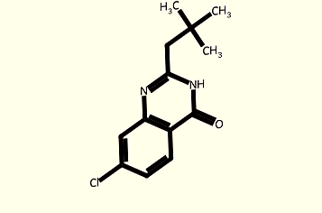 CC(C)(C)Cc1nc2cc(Cl)ccc2c(=O)[nH]1